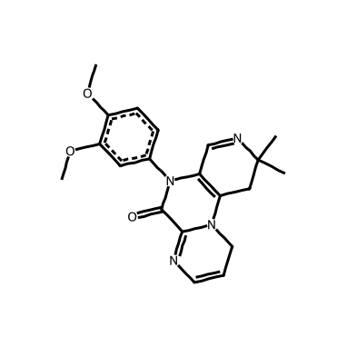 COc1ccc(N2C(=O)C3=NC=CCN3C3=C2C=NC(C)(C)C3)cc1OC